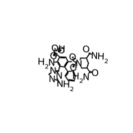 NC(=O)C1CC(C(N)=O)CN(S(=O)(=O)c2cc(S(=O)(=O)O)c(N)c(-c3ncnc(N)n3)c2-c2ccccc2)C1